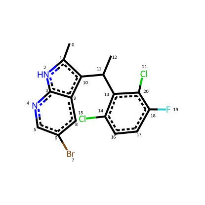 Cc1[nH]c2ncc(Br)cc2c1C(C)c1c(Cl)ccc(F)c1Cl